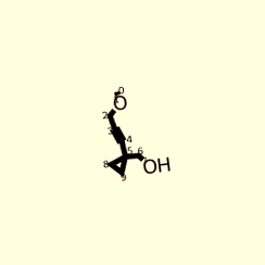 COCC#CC1(CO)CC1